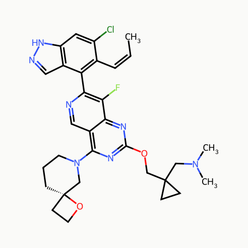 C/C=C\c1c(Cl)cc2[nH]ncc2c1-c1ncc2c(N3CCC[C@]4(CCO4)C3)nc(OCC3(CN(C)C)CC3)nc2c1F